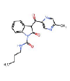 CCCCNC(=O)N1C(=O)C(C(=O)c2cnc(C)cn2)c2ccccc21